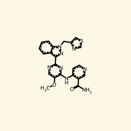 COc1cnc(-c2nn(Cc3cscn3)c3ccccc23)nc1Nc1ccncc1C(N)=O